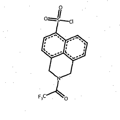 O=C(N1Cc2cccc3c(S(=O)(=O)Cl)ccc(c23)C1)C(F)(F)F